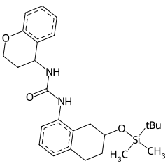 CC(C)(C)[Si](C)(C)OC1CCc2cccc(NC(=O)NC3CCOc4ccccc43)c2C1